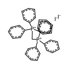 [I-].[I-].c1ccc([P+](C[P+](c2ccccc2)(c2ccccc2)c2ccccc2)(c2ccccc2)c2ccccc2)cc1